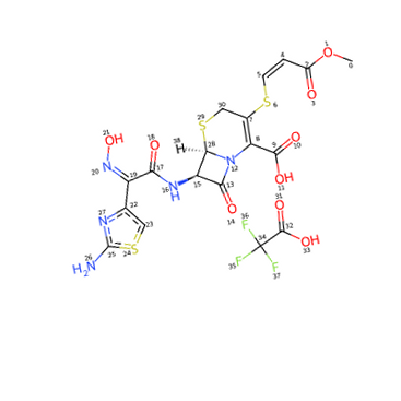 COC(=O)/C=C\SC1=C(C(=O)O)N2C(=O)[C@@H](NC(=O)/C(=N\O)c3csc(N)n3)[C@H]2SC1.O=C(O)C(F)(F)F